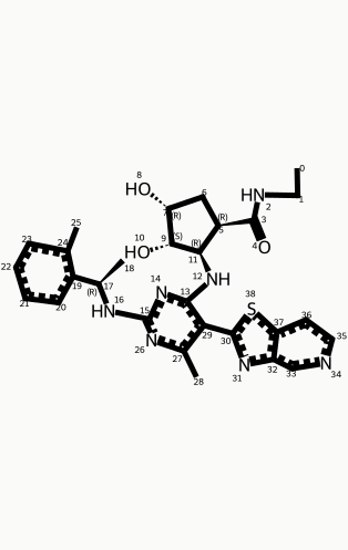 CCNC(=O)[C@@H]1C[C@@H](O)[C@@H](O)[C@@H]1Nc1nc(N[C@H](C)c2ccccc2C)nc(C)c1-c1nc2cnccc2s1